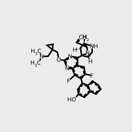 C=C[C@H]1[C@@H]2CC[C@@H](CN2)N1c1nc(OCC2(CN(C)C)CC2)nc2c(F)c(-c3cc(O)cc4ccccc34)c(F)cc12